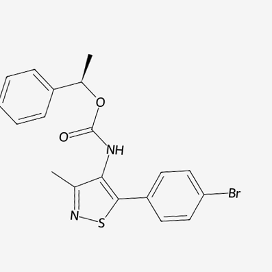 Cc1nsc(-c2ccc(Br)cc2)c1NC(=O)O[C@H](C)c1ccccc1